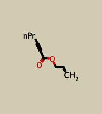 C=CCOC(=O)C#CCCC